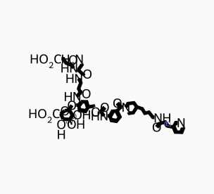 NCC(NC(=O)CCC(=O)O)C(=O)NCCC(=O)Nc1cc(COC(=O)Nc2cccc(C(=O)N3CCC(CCCCNC(=O)/C=C/c4cccnc4)CC3)c2)ccc1OC1OC(C(=O)O)C(O)[C@H](O)[C@@H]1O